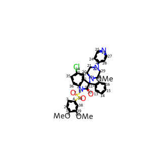 COc1ccc(S(=O)(=O)N2C(=O)C(c3ccccc3OC)(N3CCN(c4ccncc4)CC3)c3cc(Cl)ccc32)cc1OC